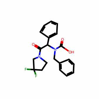 O=C(C(c1ccccc1)N(Cc1ccccc1)C(=O)O)N1CCC(F)(F)C1